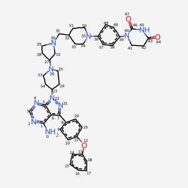 Nc1ncnc2c1c(-c1ccc(Oc3ccccc3)cc1)nn2C1CCN(C2CCN(CC3CCN(c4ccc(N5CCC(=O)NC5=O)cc4)CC3)C2)CC1